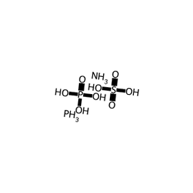 N.O=P(O)(O)O.O=S(=O)(O)O.P